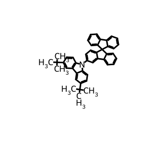 CC(C)(C)c1ccc2c(c1)c1cc(C(C)(C)C)ccc1n2-c1ccc2c(c1)-c1ccccc1C21c2ccccc2-c2ccccc21